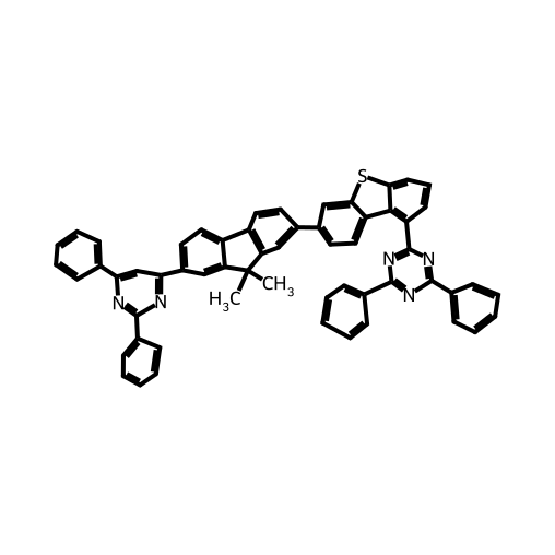 CC1(C)c2cc(-c3ccc4c(c3)sc3cccc(-c5nc(-c6ccccc6)nc(-c6ccccc6)n5)c34)ccc2-c2ccc(-c3cc(-c4ccccc4)nc(-c4ccccc4)n3)cc21